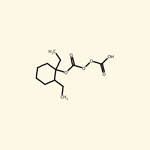 CCC1CCCCC1(CC)OC(=O)OOC(=O)O